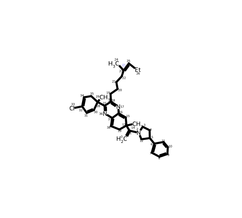 C=C(N1CCC(c2ccccc2)C1)C1(C)C=c2nc(CCCC/C(C)=C\CC)c(C3(C)C=CC(Cl)=CC3)nc2=CC1